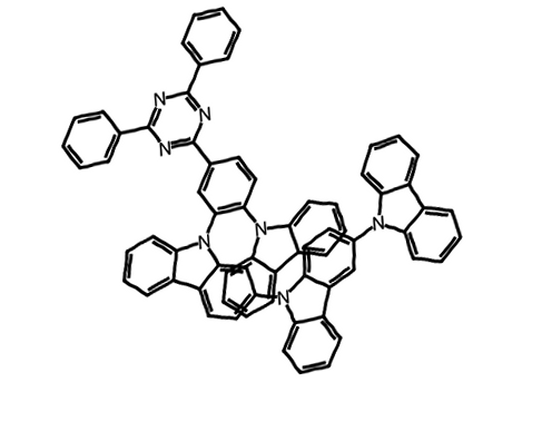 c1ccc(-c2nc(-c3ccccc3)nc(-c3ccc(-n4c5ccccc5c5ccccc54)c(-n4c5ccccc5c5ccc(-n6c7ccccc7c7cc(-n8c9ccccc9c9ccccc98)ccc76)cc54)c3)n2)cc1